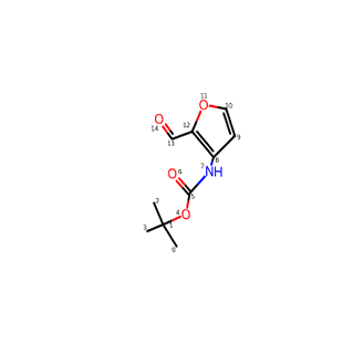 CC(C)(C)OC(=O)Nc1ccoc1C=O